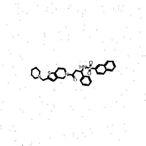 O=C(CC(NS(=O)(=O)c1ccc2ccccc2c1)c1ccccc1)N1CCc2sc(CN3CCCCC3)cc2C1